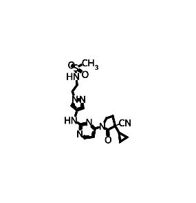 CS(=O)(=O)NCCn1cc(Nc2nccc(N3CC[C@@](C#N)(C4CC4)C3=O)n2)cn1